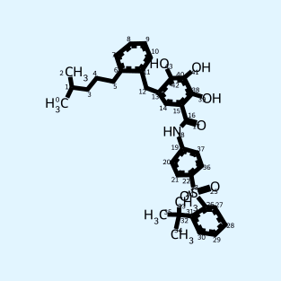 CC(C)CCCc1ccccc1Cc1cc(C(=O)Nc2ccc(S(=O)(=O)c3ccccc3C(C)(C)C)cc2)c(O)c(O)c1O